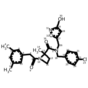 Cc1cc(C)cc(CC(=O)N2CCC2(C)C(=O)N(Cc2ccc(Cl)cc2)Cc2cc(O)no2)c1